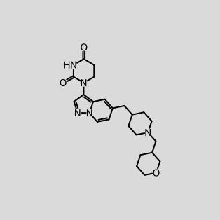 O=C1CCN(c2cnn3ccc(CC4CCN(CC5CCCOC5)CC4)cc23)C(=O)N1